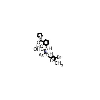 CC(=O)/C(NCc1cc(Br)c(C)o1)=C(\C=O)Nc1cccc(C(=O)N2CCCC2)c1O